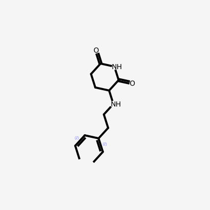 C/C=C\C(=C/C)CCNC1CCC(=O)NC1=O